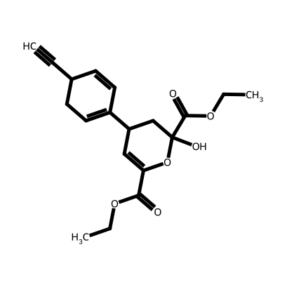 C#CC1C=CC(C2C=C(C(=O)OCC)OC(O)(C(=O)OCC)C2)=CC1